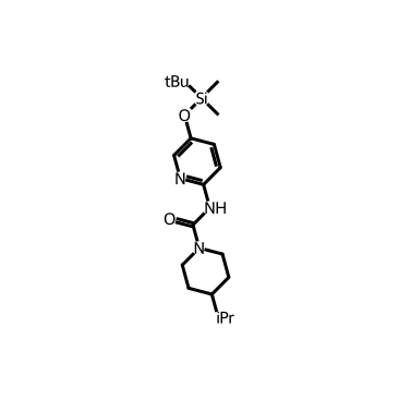 CC(C)C1CCN(C(=O)Nc2ccc(O[Si](C)(C)C(C)(C)C)cn2)CC1